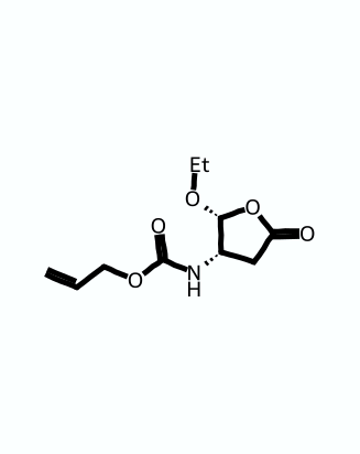 C=CCOC(=O)N[C@H]1CC(=O)O[C@H]1OCC